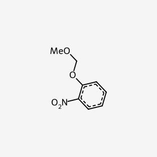 COCOc1ccccc1[N+](=O)[O-]